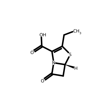 CCC1=C(C(=O)O)N2C(=O)C[C@H]2S1